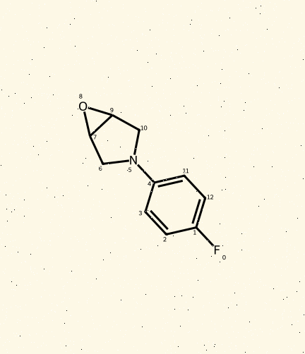 Fc1ccc(N2CC3OC3C2)cc1